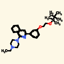 CCN1CCN(c2nc(-c3cccc(OCCO[Si](C)(C)C(C)(C)C)c3)cc3ccccc23)CC1